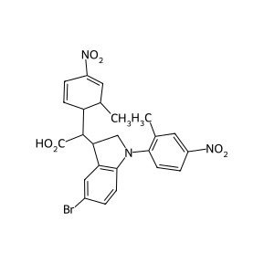 Cc1cc([N+](=O)[O-])ccc1N1CC(C(C(=O)O)C2C=CC([N+](=O)[O-])=CC2C)c2cc(Br)ccc21